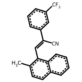 Cc1ccc2ccccc2c1C=C(C#N)c1cccc(C(F)(F)F)c1